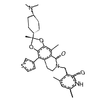 Cc1cc(C)c(CN2CCc3c(c(C)c4c(c3-c3ccsc3)O[C@](C)([C@H]3CC[C@H](N(C)C)CC3)O4)C2=O)c(=O)[nH]1